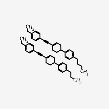 CCCCc1ccc(C2CC=C(C#Cc3ccc(CC)cc3)CC2)cc1.CCCc1ccc(C2CC=C(C#Cc3ccc(CC)cc3)CC2)cc1